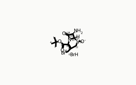 Br.CC(C)(C)OC(=O)C1=C(CBr)C[S+]([O-])[C@H]2[C@H](N)C(=O)N12